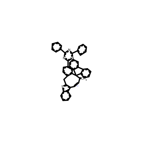 C=C1/C=C\c2c(sc3ccccc23)Cc2ccc(-c3nc(-c4ccccc4)nc(-c4ccccc4)n3)cc2C12c1ccccc1-c1ccccc12